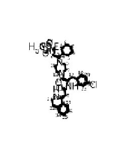 CCN(CC(C1CCCCC1)N1CCN(C(=O)C(Cc2ccc(Cl)cc2)NC(=O)CC2NCCc3ccccc32)CC1)S(C)(=O)=O